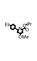 CCc1ccc(-c2cc(OC)cc(C(=O)OC(C)C)n2)cc1